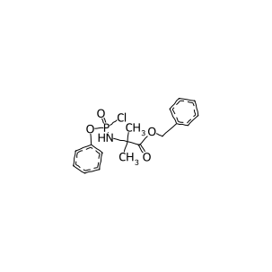 CC(C)(NP(=O)(Cl)Oc1ccccc1)C(=O)OCc1ccccc1